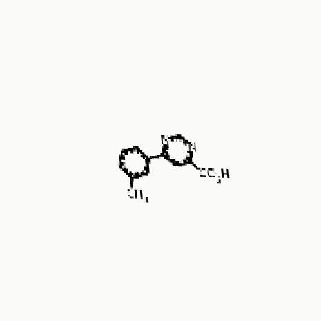 Cc1cccc(-c2cc(C(=O)O)ncn2)c1